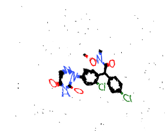 CON(C)C(=O)C(c1ccc(Cl)cc1)c1ccc(-n2ncc(=O)[nH]c2=O)cc1Cl